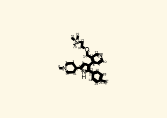 CN1CCC(c2cc(-c3ccncc3COCC[Si](C)(C)C)c(-c3ccc(F)cc3)[nH]2)CC1